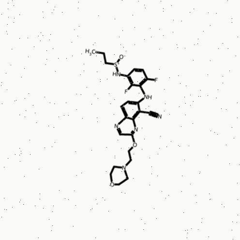 CCC[S+]([O-])Nc1ccc(F)c(Nc2ccc3ncc(OCCN4CCOCC4)nc3c2C#N)c1F